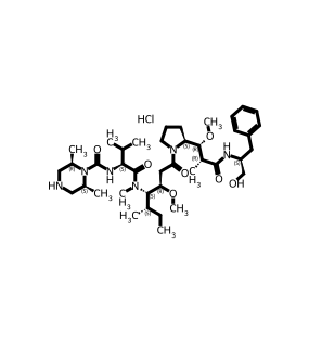 CC[C@H](C)[C@@H]([C@@H](CC(=O)N1CCC[C@H]1[C@H](OC)[C@@H](C)C(=O)N[C@H](CO)Cc1ccccc1)OC)N(C)C(=O)[C@@H](NC(=O)N1[C@H](C)CNC[C@@H]1C)C(C)C.Cl